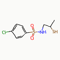 CC(S)CNS(=O)(=O)c1ccc(Cl)cc1